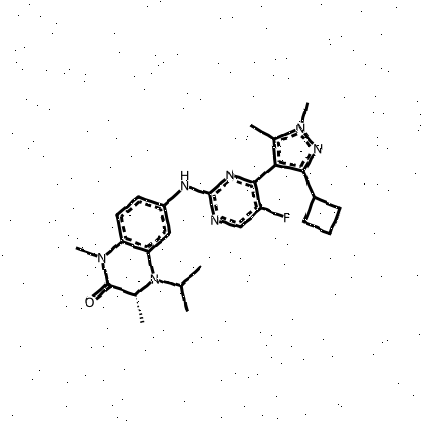 Cc1c(-c2nc(Nc3ccc4c(c3)N(C(C)C)[C@H](C)C(=O)N4C)ncc2F)c(C2CCC2)nn1C